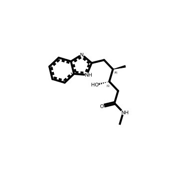 CNC(=O)C[C@H](O)[C@H](C)Cc1nc2ccccc2[nH]1